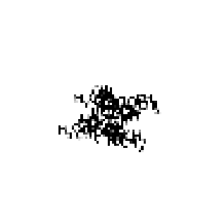 CC1(C)O[C@H]2[C@H](O)[C@@H](N(CCN([C@H]3C=C[C@H]4OC(C)(C)O[C@H]4[C@@H]3O)[C@H]3C=C[C@H]4OC(C)(C)O[C@H]4[C@@H]3O)[C@H]3C=C[C@H]4OC(C)(C)O[C@H]4[C@@H]3O)C=C[C@H]2O1